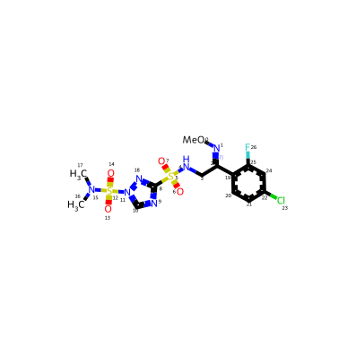 CO/N=C(\CNS(=O)(=O)c1ncn(S(=O)(=O)N(C)C)n1)c1ccc(Cl)cc1F